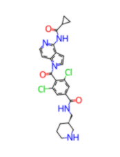 O=C(NC[C@@H]1CCCNC1)c1cc(Cl)c(C(=O)n2ccc3c(NC(=O)C4CC4)nccc32)c(Cl)c1